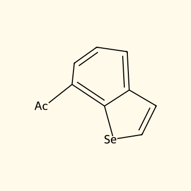 CC(=O)c1cccc2cc[se]c12